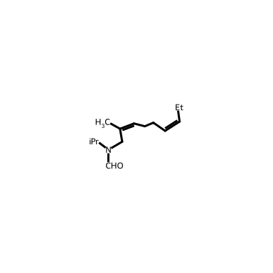 CC/C=C\CC/C=C(/C)CN(C=O)C(C)C